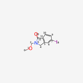 COCN1Cc2cc(I)ccc2C1=O